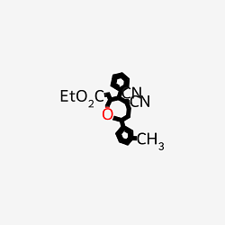 CCOC(=O)CC1COCC(c2cccc(C)c2)CCC(C#N)(C#N)C1c1ccccc1